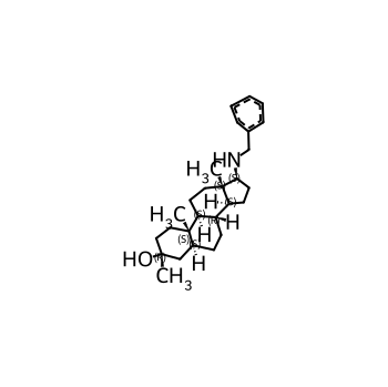 C[C@@]1(O)CC[C@@]2(C)[C@@H](CC[C@@H]3[C@@H]2CC[C@]2(C)[C@@H](NCc4ccccc4)CC[C@@H]32)C1